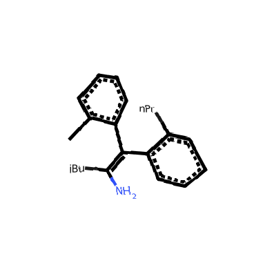 CCCc1ccccc1/C(=C(\N)C(C)CC)c1ccccc1C